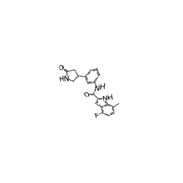 Cc1ccc(F)c2cc(C(=O)Nc3cccc(C4CNC(=O)C4)c3)[nH]c12